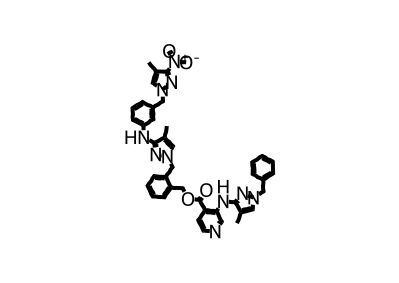 Cc1cn(Cc2ccccc2COC(=O)c2ccncc2Nc2nn(Cc3ccccc3)cc2C)nc1Nc1cccc(Cn2cc(C)c([N+](=O)[O-])n2)c1